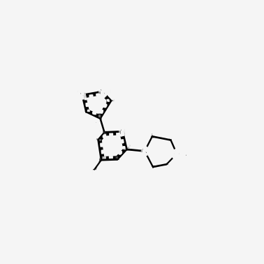 Clc1cc(-c2cn[nH]c2)nc(N2CCOCC2)c1